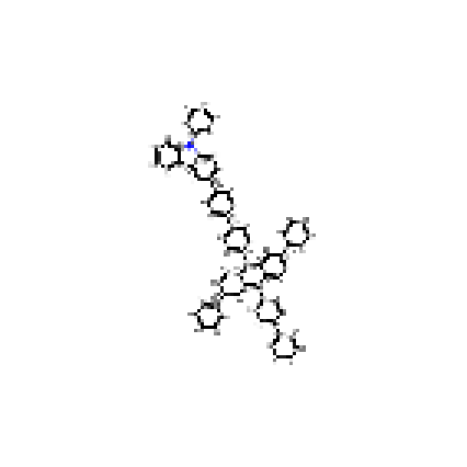 c1ccc(-c2ccc(-c3c4ccc(-c5ccccc5)cc4c(-c4ccc(-c5ccc(-c6ccc7c(c6)c6ccccc6n7-c6ccccc6)cc5)cc4)c4ccc(-c5ccccc5)cc34)cc2)cc1